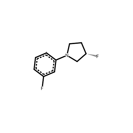 Fc1cc[c]c(N2CC[C@H](F)C2)c1